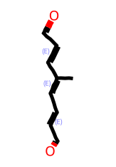 CC(/C=C/C=O)=C\C=C\C=O